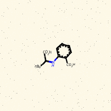 CCCCC(Nc1ccccc1C(=O)O)C(=O)O